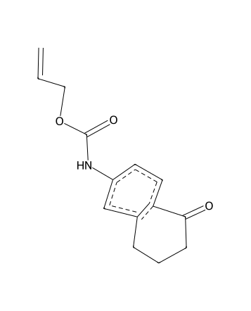 C=CCOC(=O)Nc1ccc2c(c1)CCCC2=O